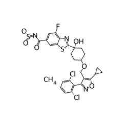 C.O=C(N=S(=O)=O)c1cc(F)c2nc(C3(O)CCC(OCc4c(-c5c(Cl)cccc5Cl)noc4C4CC4)CC3)sc2c1